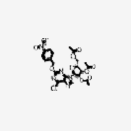 CC(=O)OC[C@H]1O[C@@H](n2cnc3c(Cl)nc(OCc4ccc([N+](=O)[O-])cc4)nc32)[C@H](OC(C)=O)[C@@H]1OC(C)=O